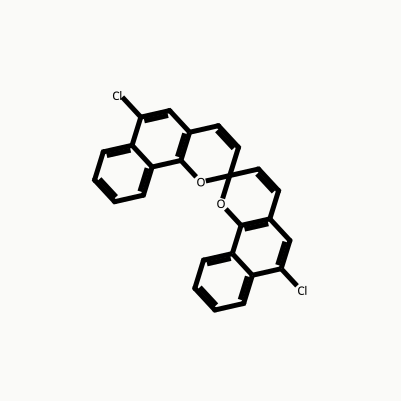 Clc1cc2c(c3ccccc13)OC1(C=C2)C=Cc2cc(Cl)c3ccccc3c2O1